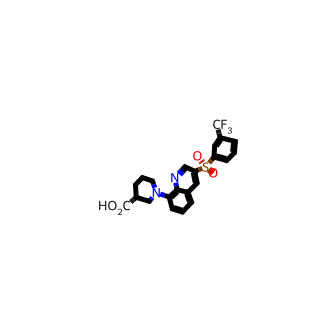 O=C(O)C1CCCN(c2cccc3cc(S(=O)(=O)c4cccc(C(F)(F)F)c4)cnc23)C1